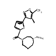 CC(=O)N[C@@H]1CCCN(C(=O)c2ccc(-c3noc(C(F)(F)F)c3C)s2)C1